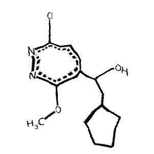 COc1nnc(Cl)cc1C(O)C1CCCC1